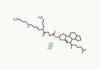 CC(C)CCC[C@@H](C)C1C=C2CC(OC(=O)CCC(=O)N(CCCN)CCCCNCCCN)CCC2C2CCC3CCCC3C21.Cl.Cl.Cl